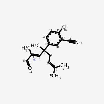 CC(C)=CCC(C)(/C=C(\C)C=O)c1ccc(Cl)c(C#N)c1